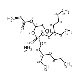 C=CC(=O)OC(CC)OP(=O)(OCC(CC)CCCC)OCC(CC)CCCC.N